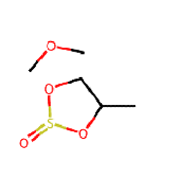 CC1COS(=O)O1.COC